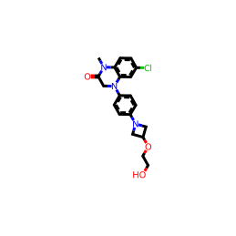 CN1C(=O)CN(c2ccc(N3CC(OCCO)C3)cc2)c2cc(Cl)ccc21